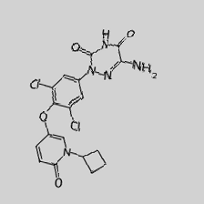 Nc1nn(-c2cc(Cl)c(Oc3ccc(=O)n(C4CCC4)c3)c(Cl)c2)c(=O)[nH]c1=O